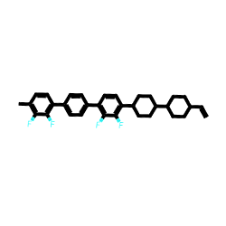 C=CC1CCC(C2CCC(c3ccc(-c4ccc(-c5ccc(C)c(F)c5F)cc4)c(F)c3F)CC2)CC1